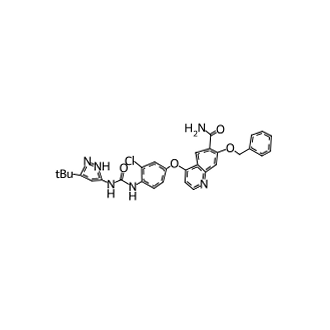 CC(C)(C)c1cc(NC(=O)Nc2ccc(Oc3ccnc4cc(OCc5ccccc5)c(C(N)=O)cc34)cc2Cl)[nH]n1